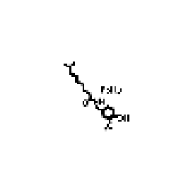 COc1cc(CNC(=O)CCCC/C=C/C(C)C)ccc1O.[PbH2]